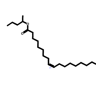 CCCCCCCC/C=C\CCCCCCCC(=O)OC(C)CCC